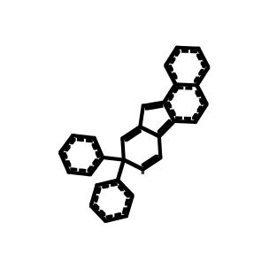 [C]1=CC2=c3ccc4ccccc4c3=CC2=CC1(c1ccccc1)c1ccccc1